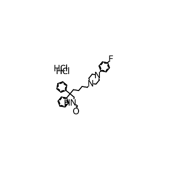 Cl.Cl.O=CNCC(CCCCN1CCN(c2ccc(F)cc2)CC1)(c1ccccc1)c1ccccc1